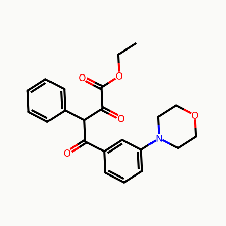 CCOC(=O)C(=O)C(C(=O)c1cccc(N2CCOCC2)c1)c1ccccc1